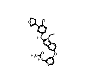 CC(=O)Nc1cc(Oc2ccc3c(c2)nc(Nc2ccc(Cl)c(C4=COCC4)c2)n3CF)ccn1